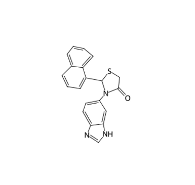 O=C1CSC(c2cccc3ccccc23)N1c1ccc2nc[nH]c2c1